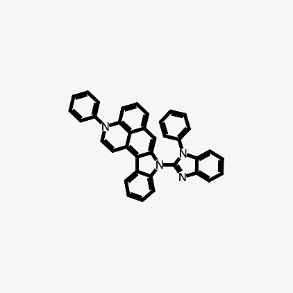 C1=CN(c2ccccc2)c2cccc3cc4c(c1c23)c1ccccc1n4-c1nc2ccccc2n1-c1ccccc1